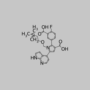 C[Si](C)(C)CCOCn1c(-c2ccnc3[nH]ccc23)cc(C(=O)O)c1-c1ccc(F)c(C(=O)O)c1